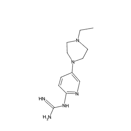 CCN1CCN(c2ccc(NC(=N)N)nc2)CC1